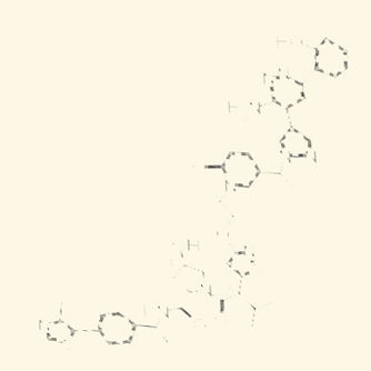 Cc1ncsc1-c1ccc([C@H](C)NC(=O)[C@@H]2C[C@@H](O)CN2C(=O)[C@@H](c2cc(OCCn3cc(C(C)n4cc(-c5cc(-c6ccccc6O)nnc5N)cn4)ccc3=O)no2)C(C)C)cc1